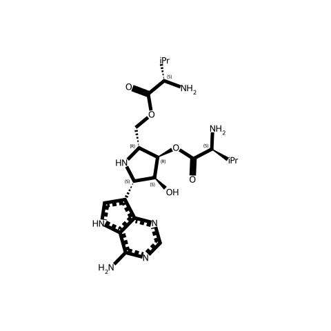 CC(C)[C@H](N)C(=O)OC[C@H]1N[C@@H](c2c[nH]c3c(N)ncnc23)[C@H](O)[C@@H]1OC(=O)[C@@H](N)C(C)C